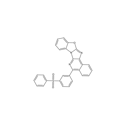 O=S(=O)(c1ccccc1)c1cccc(-c2nc3c(nc4oc5ccccc5n43)c3ccccc23)c1